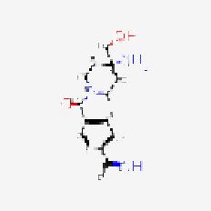 CC(=N)c1ccc(C(=O)N2CCC(N)(CO)CC2)cc1